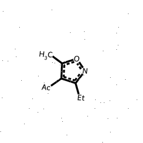 CCc1noc(C)c1C(C)=O